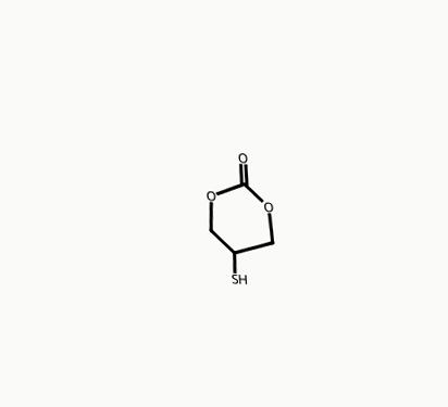 O=C1OCC(S)CO1